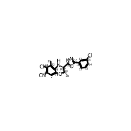 [C-]#[N+]c1ccc(N[C@@H](c2nnc(-c3cccc(Cl)c3)o2)[C@H](C)O)c(C)c1Cl